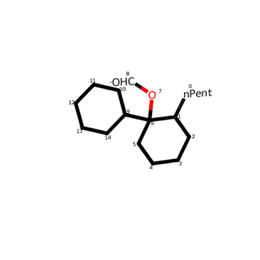 CCCCCC1CCCCC1(O[C]=O)C1CCCCC1